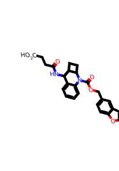 O=C(O)CCC(=O)NC1c2ccccc2N(C(=O)OCc2ccc3occc3c2)C2CCC12